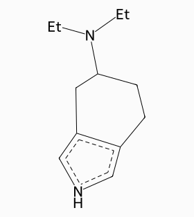 CCN(CC)C1CCc2c[nH]cc2C1